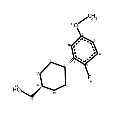 COc1ccc(F)c([C@H]2CC[C@H](CO)CC2)c1